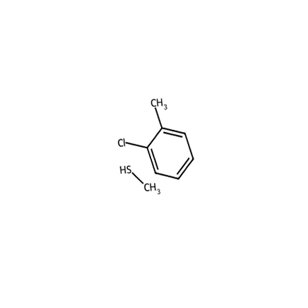 CS.Cc1ccccc1Cl